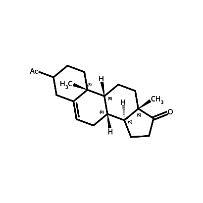 CC(=O)C1CC[C@@]2(C)C(=CC[C@@H]3[C@H]2CC[C@]2(C)C(=O)CC[C@@H]32)C1